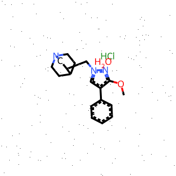 COc1nn(CC2CN3CCC2CC3)cc1-c1ccccc1.Cl.O